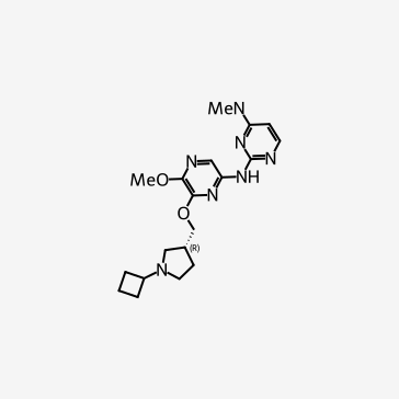 CNc1ccnc(Nc2cnc(OC)c(OC[C@@H]3CCN(C4CCC4)C3)n2)n1